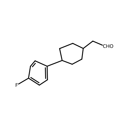 O=CCC1CCC(c2ccc(F)cc2)CC1